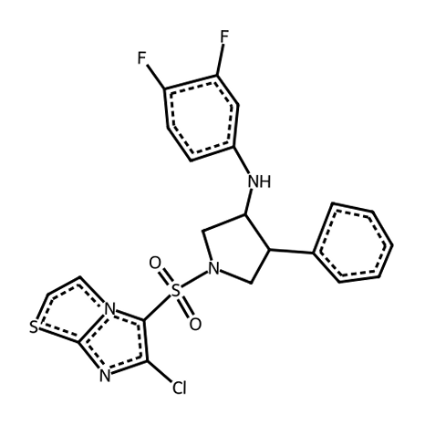 O=S(=O)(c1c(Cl)nc2sccn12)N1CC(Nc2ccc(F)c(F)c2)C(c2ccccc2)C1